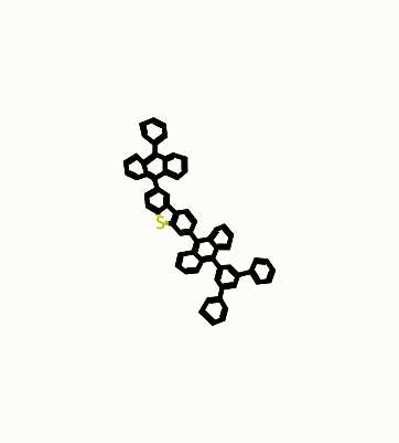 c1ccc(-c2cc(-c3ccccc3)cc(-c3c4ccccc4c(-c4ccc5c(c4)sc4ccc(-c6c7ccccc7c(-c7ccccc7)c7ccccc67)cc45)c4ccccc34)c2)cc1